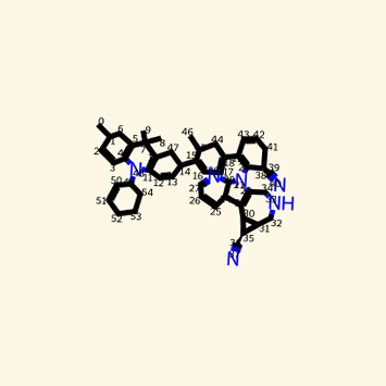 CC1C=CC2=C(C1)C(C)(C)C1=C(C=CC(C3=CC=C(C4=C(N5C6=C(C7C=CC=NC75)C5C(CNC6)[C@H]5C#N)C(C#N)CC=C4)CC3C)C1)N2C1C=CCCC1